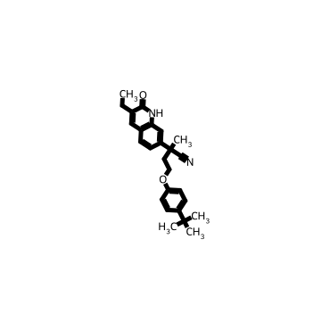 CCc1cc2ccc(C(C)(C#N)CCOc3ccc(C(C)(C)C)cc3)cc2[nH]c1=O